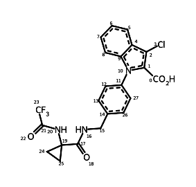 O=C(O)c1c(Cl)c2ccccc2n1-c1ccc(CNC(=O)C2(NC(=O)C(F)(F)F)CC2)cc1